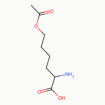 CC(=O)OCCCCC(N)C(=O)O